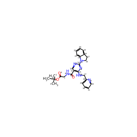 CC(C)(C)OC(=O)CNC(=O)c1cnc(N2CCc3ccccc32)nc1NCc1ccccn1